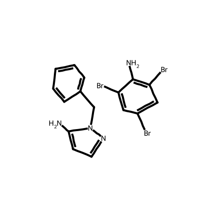 Nc1c(Br)cc(Br)cc1Br.Nc1ccnn1Cc1ccccc1